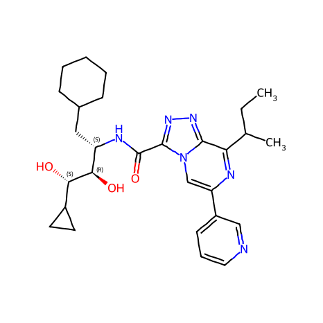 CCC(C)c1nc(-c2cccnc2)cn2c(C(=O)N[C@@H](CC3CCCCC3)[C@@H](O)[C@@H](O)C3CC3)nnc12